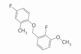 COc1cccc(COc2ccc(F)cc2C)c1F